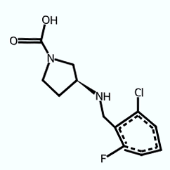 O=C(O)N1CC[C@H](NCc2c(F)cccc2Cl)C1